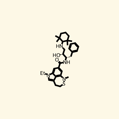 CCn1cc2c3c(cc(C(=O)N[C@@H](Cc4ccccc4)[C@H](O)CNC4C(C)(C)CCCC4(C)C)cc31)N(C)SCC2